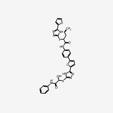 C=CCC(Sc1nnc(-c2ccco2)[nH]1)C(=O)Nc1ccc(-c2ccc(-c3nnc(SC(O)C(=O)Nc4ccccc4)[nH]3)o2)cc1